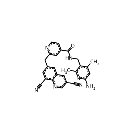 Cc1cc(N)nc(C)c1CNC(=O)c1ccnc(Cc2cc(C#N)c3ncc(C#N)cc3c2)c1